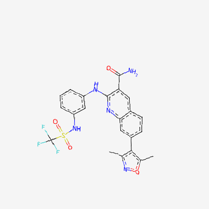 Cc1noc(C)c1-c1ccc2cc(C(N)=O)c(Nc3cccc(NS(=O)(=O)C(F)(F)F)c3)nc2c1